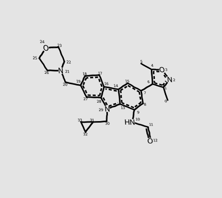 Cc1noc(C)c1-c1cc(NC=O)c2c(c1)c1ccc(CN3CCOCC3)cc1n2CC1CC1